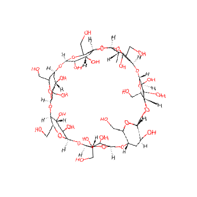 C[C@H]1C(O)[C@@H]2O[C@H]3OC(CO)[C@@H](O[C@H]4OC(CO)[C@H](C[C@@H]4O)O[C@H]4OC(CO)[C@@H](O[C@H]5OC(CO)[C@@H](O[C@H]6OC(CO)[C@@H](O[C@H]7OC(CO)[C@@H](O[C@H]1OC2CO)[C@H](O)C7O)[C@H](O)C6O)[C@H](O)C5O)[C@H](O)C4O)C(O)[C@@H]3O